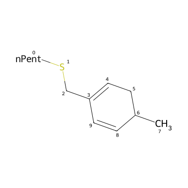 CCCCCSCC1=CCC(C)C=C1